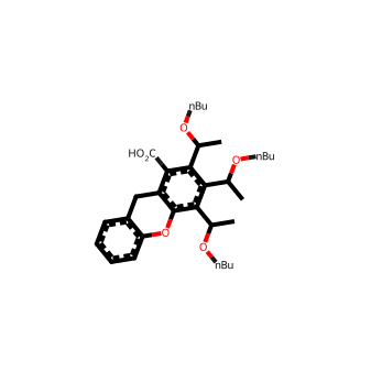 CCCCOC(C)c1c2c(c(C(=O)O)c(C(C)OCCCC)c1C(C)OCCCC)Cc1ccccc1O2